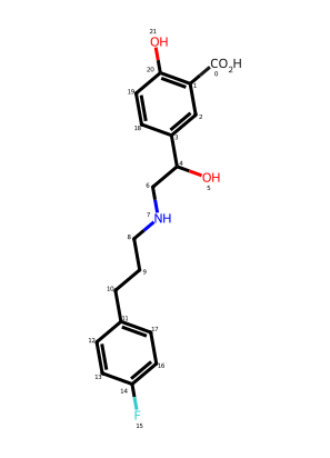 O=C(O)c1cc(C(O)CNCCCc2ccc(F)cc2)ccc1O